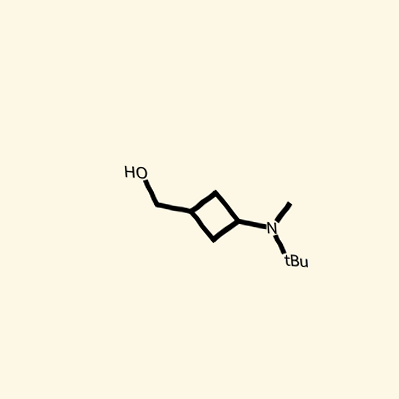 CN(C1CC(CO)C1)C(C)(C)C